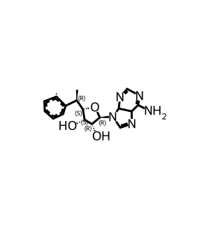 C[C@H](c1[c]cccc1)[C@@H]1O[C@@H](N2C=NC3C(N)=NC=NC32)[C@H](O)[C@@H]1O